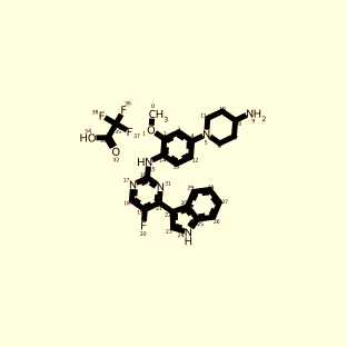 COc1cc(N2CCC(N)CC2)ccc1Nc1ncc(F)c(-c2c[nH]c3ccccc23)n1.O=C(O)C(F)(F)F